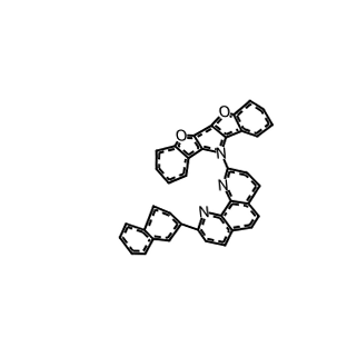 c1ccc2cc(-c3ccc4ccc5ccc(-n6c7c8ccccc8oc7c7oc8ccccc8c76)nc5c4n3)ccc2c1